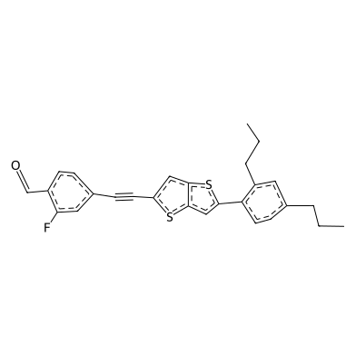 CCCc1ccc(-c2cc3sc(C#Cc4ccc(C=O)c(F)c4)cc3s2)c(CCC)c1